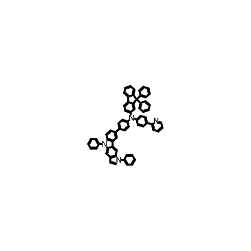 c1ccc(-n2ccc3cc4c(cc32)c2cc(-c3ccc(N(c5ccc(-c6ccccn6)cc5)c5ccc6c(c5)C(c5ccccc5)(c5ccccc5)c5ccccc5-6)cc3)ccc2n4-c2ccccc2)cc1